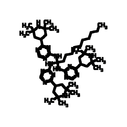 CCCCCCCCCCC(Nc1ncnc(C2CC(C)(C)NC(C)(C)C2)n1)(Nc1ncnc(C2CC(C)(C)NC(C)(C)C2)n1)Nc1ncnc(C2CC(C)(C)NC(C)(C)C2)n1